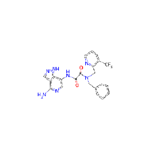 Nc1ncc(NC(=O)C(=O)N(Cc2ccccc2)Cc2ncccc2C(F)(F)F)c2[nH]ncc12